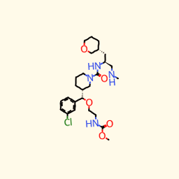 CNC[C@H](C[C@H]1CCCOC1)NC(=O)N1CCC[C@@H](C(OCCNC(=O)OC)c2cccc(Cl)c2)C1